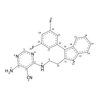 N#Cc1c(N)ncnc1NCCc1sc2ccccc2c1-c1cc(F)cc(F)c1